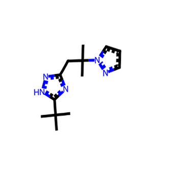 CC(C)(C)c1nc(CC(C)(C)n2cccn2)n[nH]1